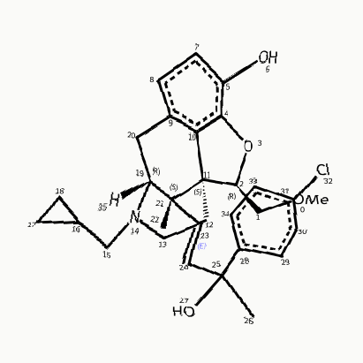 COC[C@@H]1Oc2c(O)ccc3c2[C@@]12CCN(CC1CC1)[C@H](C3)[C@@]2(C)/C=C/C(C)(O)c1ccc(Cl)cc1